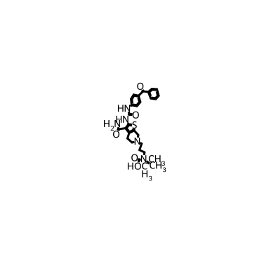 CC(C)(C)N(CCCN1CCc2c(sc(NC(=O)Nc3ccc(C(=O)c4ccccc4)cc3)c2C(N)=O)C1)C(=O)O